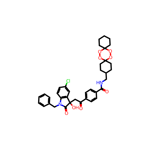 O=C(CC1(O)C(=O)N(Cc2ccccc2)c2ccc(Cl)cc21)c1ccc(C(=O)NCC2CCC3(CC2)OOC2(CCCCC2)OO3)cc1